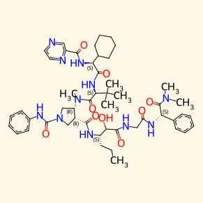 CCC[C@H](NC(=O)[C@@H]1CN(C(=O)Nc2ccccc2)C[C@@H]1N(C)C(=O)[C@@H](NC(=O)[C@@H](NC(=O)c1cnccn1)C1CCCCC1)C(C)(C)C)C(O)C(=O)NCC(=O)N[C@H](C(=O)N(C)C)c1ccccc1